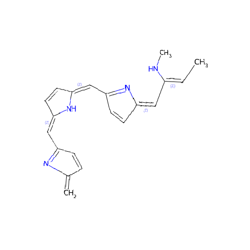 C=C1C=CC(/C=c2/cc/c(=C/C3=NC(=C\C(=C\C)NC)/C=C3)[nH]2)=N1